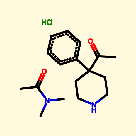 CC(=O)C1(c2ccccc2)CCNCC1.CC(=O)N(C)C.Cl